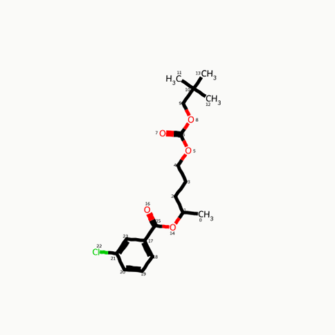 CC(CCCOC(=O)OCC(C)(C)C)OC(=O)c1cccc(Cl)c1